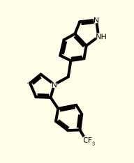 FC(F)(F)c1ccc(-c2c[c]cn2Cc2ccc3cn[nH]c3c2)cc1